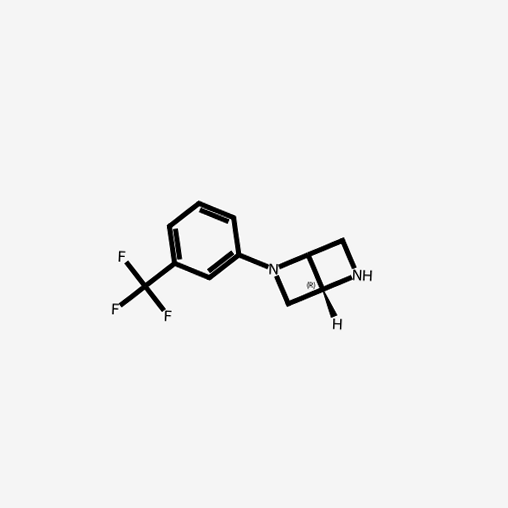 FC(F)(F)c1cccc(N2C[C@H]3NCC32)c1